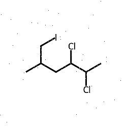 CC(CI)CC(Cl)C(C)Cl